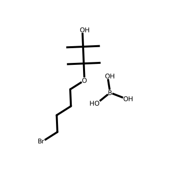 CC(C)(O)C(C)(C)OCCCCBr.OB(O)O